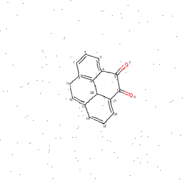 O=C1C(=O)c2cccc3c2C2C(=CC3)C=CC=C12